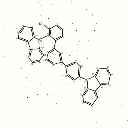 N#Cc1cccc(-c2cncc(-c3ccc(-n4c5ccccc5c5ccccc54)cc3)c2)c1-n1c2ccccc2c2ccccc21